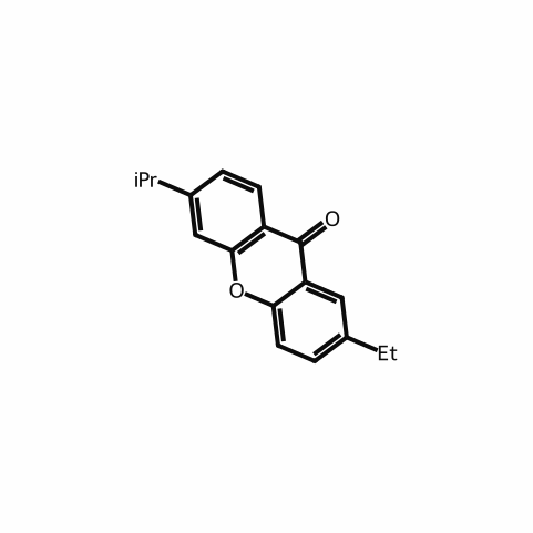 CCc1ccc2oc3cc(C(C)C)ccc3c(=O)c2c1